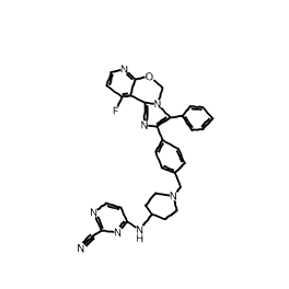 N#Cc1nccc(NC2CCN(Cc3ccc(-c4nc5n(c4-c4ccccc4)COc4nccc(F)c4-5)cc3)CC2)n1